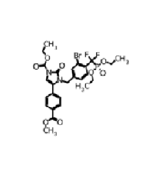 CCOC(=O)n1cc(-c2ccc(C(=O)OC)cc2)n(Cc2ccc(C(F)(F)P(=O)(OCC)OCC)c(Br)c2)c1=O